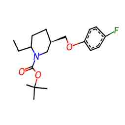 CCC1CC[C@@H](COc2ccc(F)cc2)CN1C(=O)OC(C)(C)C